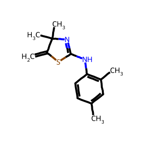 C=C1SC(Nc2ccc(C)cc2C)=NC1(C)C